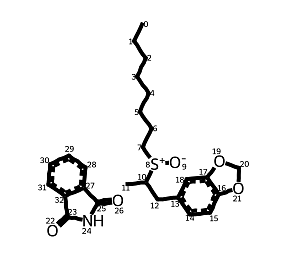 CCCCCCCC[S+]([O-])C(C)Cc1ccc2c(c1)OCO2.O=C1NC(=O)c2ccccc21